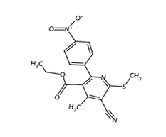 CCOC(=O)c1c(-c2ccc([N+](=O)[O-])cc2)nc(SC)c(C#N)c1C